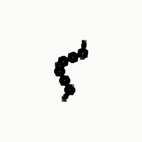 N#Cc1ccnc(-c2ccc(-c3ccc4sc5ccc(-c6ccc(-c7cc(C#N)ccn7)cc6)cc5c4c3)cc2)c1